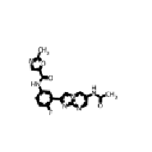 CC(=O)Nc1cnc2nc(-c3cc(NC(=O)c4cnc(C)o4)ccc3F)cn2c1